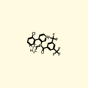 CC(C)N(C(=O)c1cc(C(F)(F)F)cc(C(F)(F)F)c1)c1cnccc1-c1ccccc1Cl